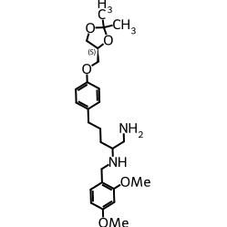 COc1ccc(CNC(CN)CCCc2ccc(OC[C@H]3COC(C)(C)O3)cc2)c(OC)c1